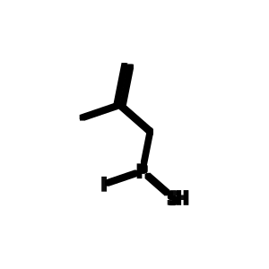 C=C(C)CP(S)I